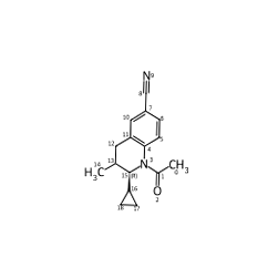 CC(=O)N1c2ccc(C#N)cc2CC(C)[C@@H]1C1CC1